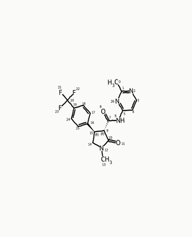 Cc1nccc(NC(=O)[C@@H]2C(=O)N(C)C[C@H]2c2ccc(C(F)(F)F)cc2)n1